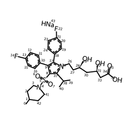 CC1CCN(S(=O)(=O)c2c(-c3ccc(F)cc3)c(-c3ccc(F)cc3)n(CC[C@@H](O)C[C@@H](O)CC(=O)O)c2C(C)C)CC1.[NaH]